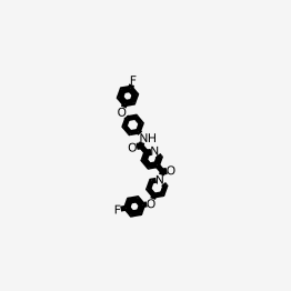 O=C(NC1CCC(Oc2ccc(F)cc2)CC1)c1ccc(C(=O)N2CCC(Oc3ccc(F)cc3)CC2)cn1